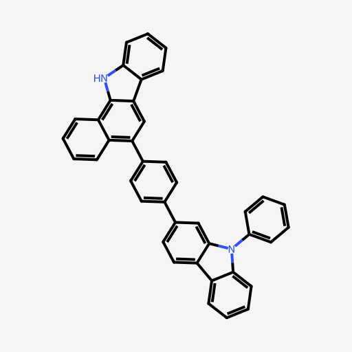 c1ccc(-n2c3ccccc3c3ccc(-c4ccc(-c5cc6c7ccccc7[nH]c6c6ccccc56)cc4)cc32)cc1